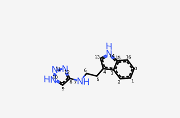 c1ccc2c(CCNc3c[nH]nn3)c[nH]c2c1